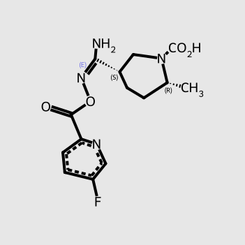 C[C@@H]1CC[C@H](/C(N)=N\OC(=O)c2ccc(F)cn2)CN1C(=O)O